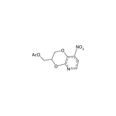 CC(=O)OCC1COc2c([N+](=O)[O-])ccnc2O1